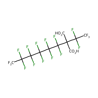 O=C(O)C(C(=O)O)(C(F)(F)C(F)(F)F)C(F)(F)C(F)(F)C(F)(F)C(F)(F)C(F)(F)C(F)(F)F